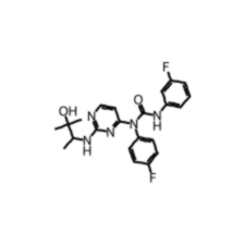 CC(Nc1nccc(N(C(=O)Nc2cccc(F)c2)c2ccc(F)cc2)n1)C(C)(C)O